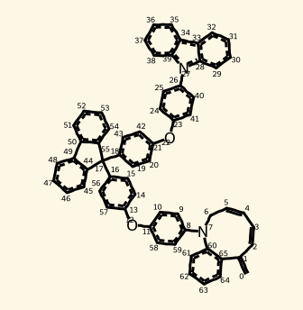 C=C1/C=C\C=C/CN(c2ccc(Oc3ccc(C4(c5ccc(Oc6ccc(-n7c8ccccc8c8ccccc87)cc6)cc5)c5ccccc5-c5ccccc54)cc3)cc2)c2ccccc21